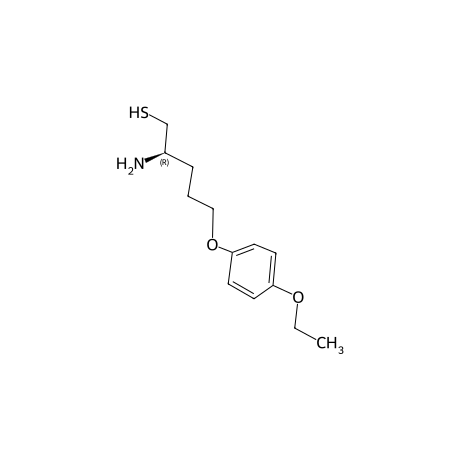 CCOc1ccc(OCCC[C@@H](N)CS)cc1